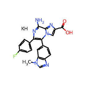 Cn1cnc2ccc(-c3c(-c4ccc(F)cc4)nc(N)c4nc(C(=O)O)cn34)cc21.[KH]